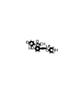 Cn1c(=O)n(C2CCC(=O)NC2=O)c2cccc(C#CCO[C@H]3CCNC[C@@H]3F)c21